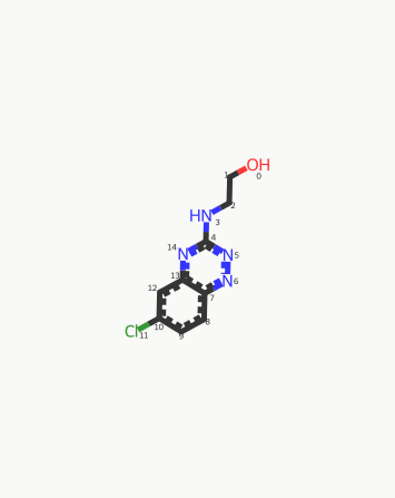 OCCNc1nnc2ccc(Cl)cc2n1